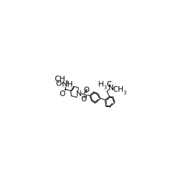 CONC(=O)C1=CCN(S(=O)(=O)c2ccc(-c3ccccc3CN(C)C)cc2)CC1